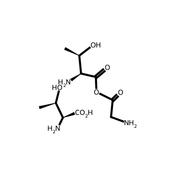 C[C@@H](O)[C@H](N)C(=O)O.C[C@@H](O)[C@H](N)C(=O)OC(=O)CN